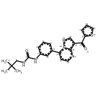 CC(C)(C)CNC(=O)Nc1cccc(-c2ccnc3c(C(=O)c4cccs4)cnn23)c1